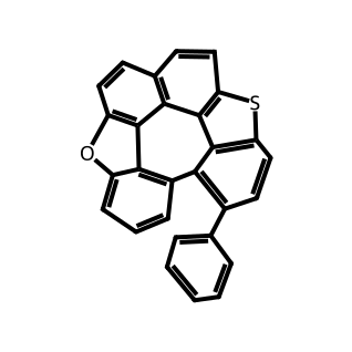 c1ccc(-c2ccc3sc4ccc5ccc6oc7cccc8c7c6c5c4c3c2-8)cc1